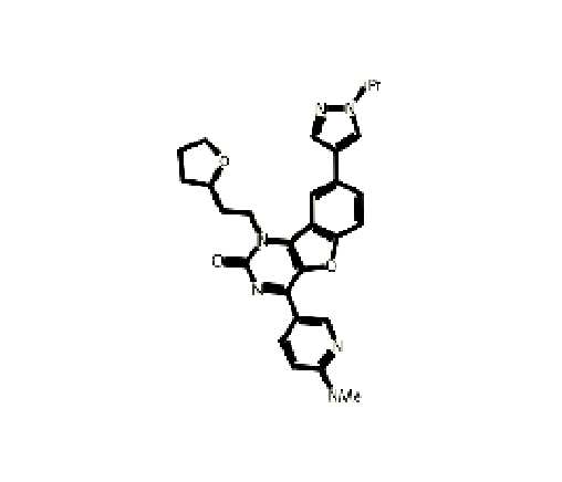 CNc1ccc(-c2nc(=O)n(CCC3CCCO3)c3c2oc2ccc(-c4cnn(C(C)C)c4)cc23)cn1